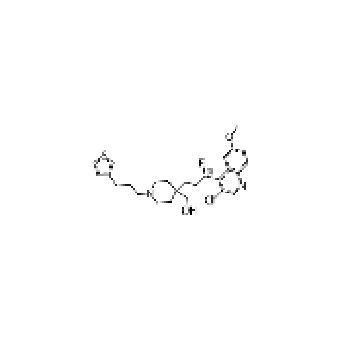 COc1ccc2ncc(Cl)c([C@H](F)CCC3(CO)CCN(CCCc4ccsc4)CC3)c2c1